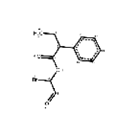 CCC(C(=O)OC(Br)C=O)c1ccccc1